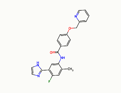 Cc1cc(F)c(-c2ncc[nH]2)cc1NC(=O)c1ccc(OCc2ccccn2)cc1